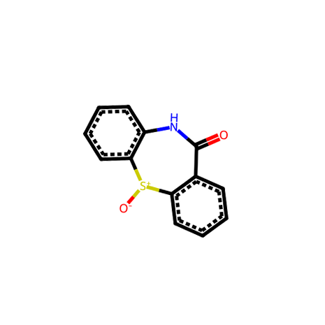 O=C1Nc2ccccc2[S+]([O-])c2ccccc21